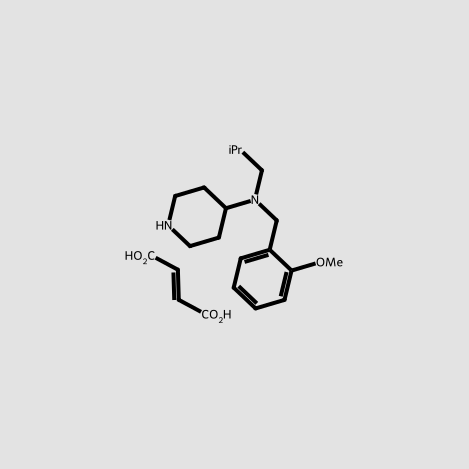 COc1ccccc1CN(CC(C)C)C1CCNCC1.O=C(O)C=CC(=O)O